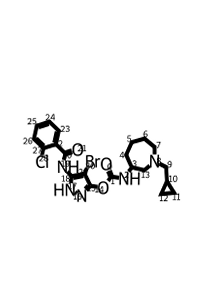 O=C(NC1CCCCN(CC2CC2)C1)Oc1n[nH]c(NC(=O)c2ccccc2Cl)c1Br